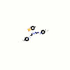 CC[N+](C)(CCCNc1ccc([N+](=O)[O-])cc1)CCCNc1ccc([N+](=O)[O-])cc1.Cc1ccc(S(=O)(=O)[O-])cc1